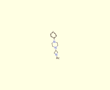 CC(=O)N1CC(N2CCN(c3cc[c]cc3)CC2)C1